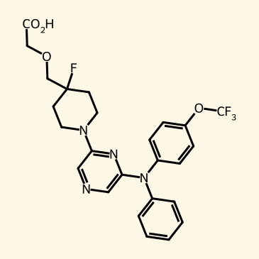 O=C(O)COCC1(F)CCN(c2cncc(N(c3ccccc3)c3ccc(OC(F)(F)F)cc3)n2)CC1